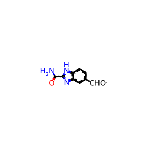 NC(=O)c1nc2cc([C]=O)ccc2[nH]1